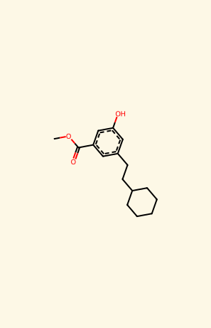 COC(=O)c1cc(O)cc(CCC2CCCCC2)c1